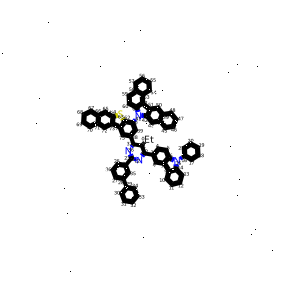 CCC1C(c2ccc3c(c2)c2ccccc2n3-c2ccccc2)=NC(c2cccc(-c3ccccc3)c2)=NC1c1cc(-n2c3cc4ccccc4cc3c3c4ccccc4ccc32)c2sc3cc4ccccc4cc3c2c1